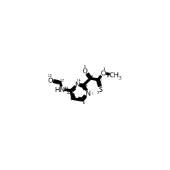 COC(=S)C(=O)c1nccc(NC=O)n1